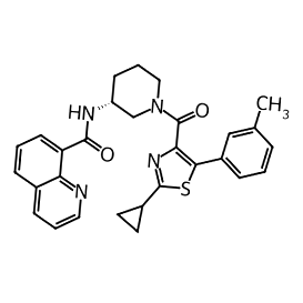 Cc1cccc(-c2sc(C3CC3)nc2C(=O)N2CCC[C@@H](NC(=O)c3cccc4cccnc34)C2)c1